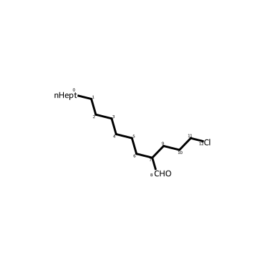 CCCCCCCCCCCCCC(C=O)CCCCl